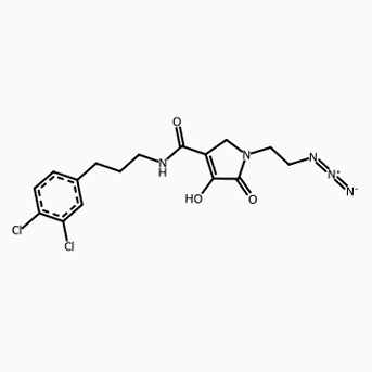 [N-]=[N+]=NCCN1CC(C(=O)NCCCc2ccc(Cl)c(Cl)c2)=C(O)C1=O